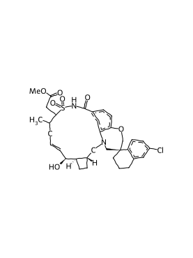 COC(=O)CC1C(C)C/C=C/[C@H](O)[C@@H]2CC[C@H]2CN2C[C@@]3(CCCc4cc(Cl)ccc43)COc3ccc(cc32)C(=O)NS1(=O)=O